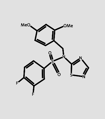 COc1ccc(CN(c2ncns2)S(=O)(=O)c2ccc(F)c(F)c2)c(OC)c1